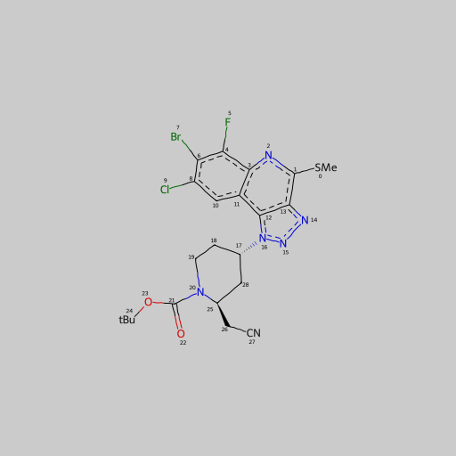 CSc1nc2c(F)c(Br)c(Cl)cc2c2c1nnn2[C@H]1CCN(C(=O)OC(C)(C)C)[C@H](CC#N)C1